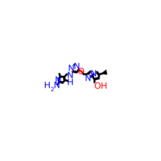 Cc1cc(N)nc(C)c1CNc1cc(OCc2cn3cc(C4CC4)cc(CO)c3n2)ncn1